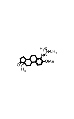 COc1ccc2c(c1/N=N/N(C)C)CCC1C2CCC2(C)C(=O)CCC12